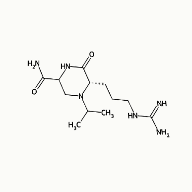 CC(C)N1CC(C(N)=O)NC(=O)[C@@H]1CCCNC(=N)N